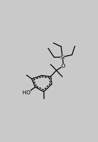 CC[Si](CC)(CC)OC(C)(C)c1cc(C)c(O)c(C)c1